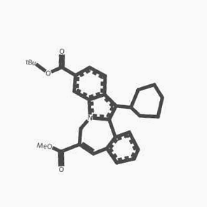 COC(=O)C1=Cc2ccccc2-c2c(C3CCCCC3)c3ccc(C(=O)OC(C)(C)C)cc3n2C1